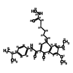 COc1cc2c(=O)c(C(=O)Nc3ccc(C(C)C)cc3)cn(CCCCCC(=O)NO)c2cc1OC